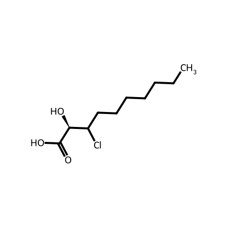 CCCCCCCC(Cl)[C@H](O)C(=O)O